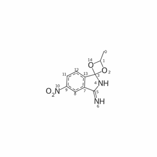 CC1OC2(NC(=N)c3cc([N+](=O)[O-])ccc32)O1